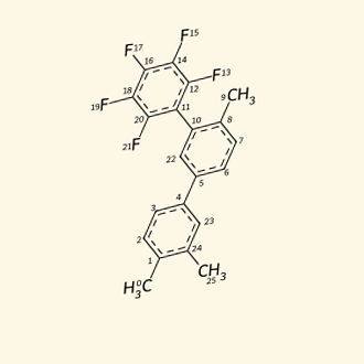 Cc1ccc(-c2ccc(C)c(-c3c(F)c(F)c(F)c(F)c3F)c2)cc1C